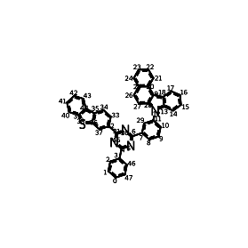 c1ccc(-c2nc(-c3cccc(-n4c5ccccc5c5c6ccccc6ccc54)c3)nc(-c3ccc4c(c3)sc3ccccc34)n2)cc1